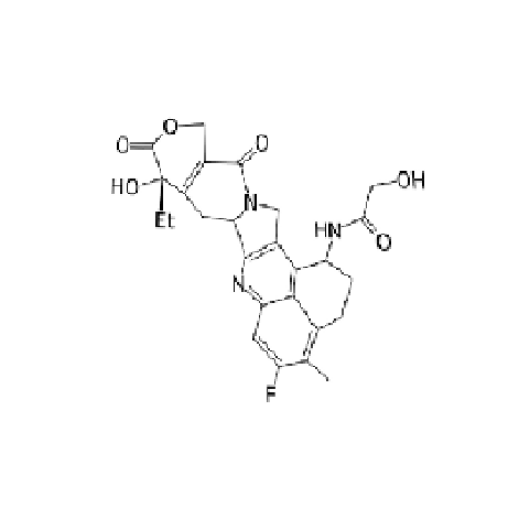 CC[C@@]1(O)C(=O)OCC2=C1CC1c3nc4cc(F)c(C)c5c4c(c3CN1C2=O)C(NC(=O)CO)CC5